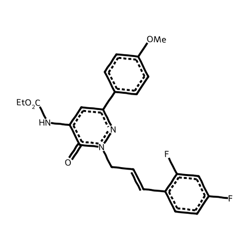 CCOC(=O)Nc1cc(-c2ccc(OC)cc2)nn(C/C=C/c2ccc(F)cc2F)c1=O